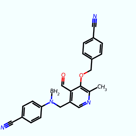 BN(Cc1cnc(C)c(OCc2ccc(C#N)cc2)c1C=O)c1ccc(C#N)cc1